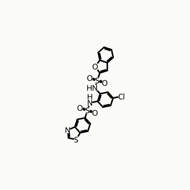 O=S(=O)(Nc1ccc(Cl)cc1NS(=O)(=O)c1cc2ccccc2o1)c1ccc2scnc2c1